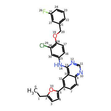 CCc1ccc(-c2ccc3ncnc(Nc4ccc(OCc5cccc(F)c5)c(Cl)c4)c3c2)o1